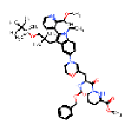 CCn1c(-c2cccnc2[C@H](C)OC)c(CC(C)(C)CO[Si](C)(C)C(C)(C)C)c2cc(N3CCOC(CC(NC(=O)OCc4ccccc4)C(=O)N4CCCC(C(=O)OC)N4)C3)ccc21